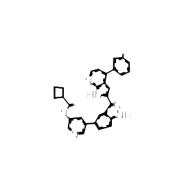 O=C(Nc1cncc(-c2ccc3[nH]nc(-c4cc5c(-c6cccc(F)c6)ccnc5[nH]4)c3c2)c1)C1CCC1